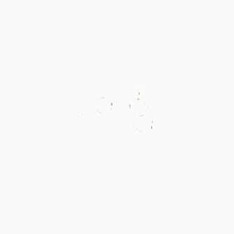 Cn1c(=O)c(Cc2ccc(C#N)cc2)nc2nc(Cl)ccc21